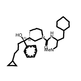 CNCC(CC1CCCCC1)NC(=O)N1CCC[C@@H]([C@@](O)(CCCC2CC2)c2ccccc2)C1